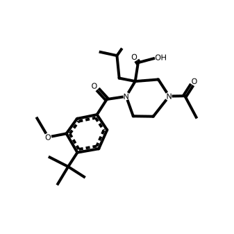 COc1cc(C(=O)N2CCN(C(C)=O)CC2(CC(C)C)C(=O)O)ccc1C(C)(C)C